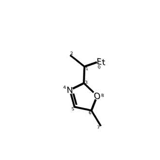 CCC(C)C1N=CC(C)O1